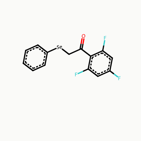 O=C(C[Se]c1ccccc1)c1c(F)cc(F)cc1F